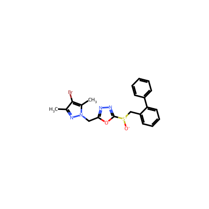 Cc1nn(Cc2nnc([S+]([O-])Cc3ccccc3-c3ccccc3)o2)c(C)c1Br